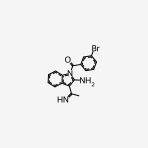 CC(=N)c1c(N)n(C(=O)c2cccc(Br)c2)c2ccccc12